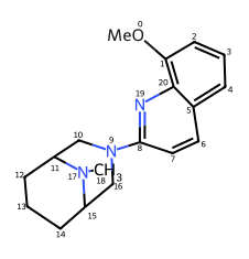 COc1cccc2ccc(N3CC4CCCC(C3)N4C)nc12